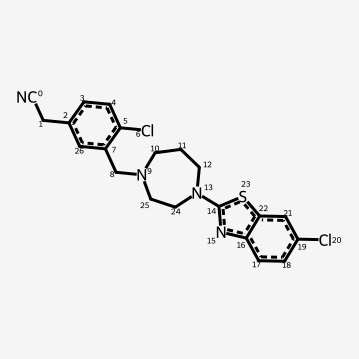 N#CCc1ccc(Cl)c(CN2CCCN(c3nc4ccc(Cl)cc4s3)CC2)c1